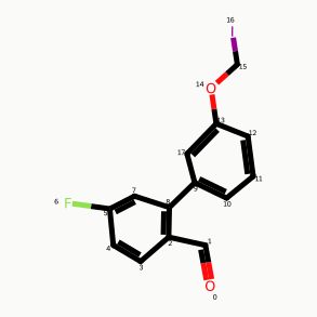 O=Cc1ccc(F)cc1-c1cccc(OCI)c1